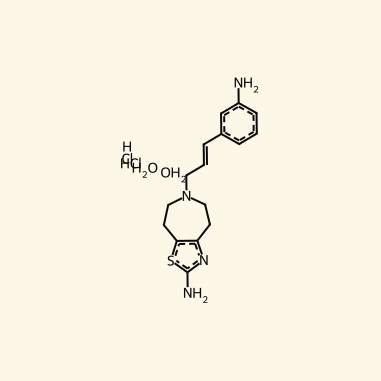 Cl.Cl.Nc1cccc(C=CCN2CCc3nc(N)sc3CC2)c1.O.O